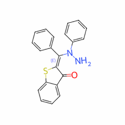 NN(/C(=C1/Sc2ccccc2C1=O)c1ccccc1)c1ccccc1